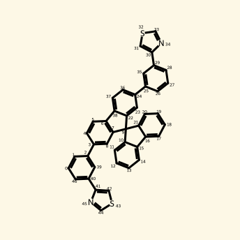 c1cc(-c2ccc3c(c2)C2(c4ccccc4-c4ccccc42)c2cc(-c4cccc(-c5cscn5)c4)ccc2-3)cc(-c2cscn2)c1